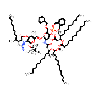 CCCCCCCCCCCC(C)C(=O)O[C@@H](CC(=O)NC1[C@H](OCC2O[C@@H](O[Si](C)(C)C(C)(C)C)C(N=[N+]=[N-])[C@@H](OC(=O)C[C@H](C)C(C)CCCCCCCCC)[C@@H]2C)OC(COCc2ccccc2)[C@@H](OP2(=O)OCc3ccccc3CO2)[C@@H]1OC(=O)C[C@H](OC(=O)C(C)CCCCCCCCCCC)C(C)CCCCCCCCC)C(C)CCCCCCCCC